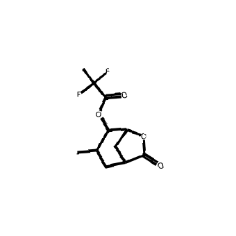 CC1CC2CC(OC2=O)C1OC(=O)C(C)(F)F